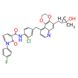 CC(C)(O)CCc1cc2nccc(Cc3ccc(NC(=O)c4cccn(-c5ccc(F)cc5)c4=O)c(Cl)c3)c2c2c1OCCO2